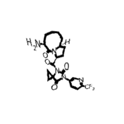 N[C@H]1CCCC[C@H]2CC[C@@H](C(=O)N3C(=O)N(c4ccc(C(F)(F)F)nc4)C(=O)C34CC4)N2C1=O